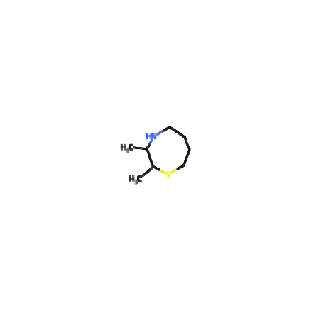 CC1NCCCCSC1C